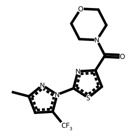 Cc1cc(C(F)(F)F)n(-c2nc(C(=O)N3CCOCC3)cs2)n1